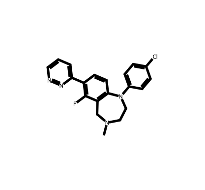 CN1CCN(c2ccc(Cl)cc2)c2ccc(-c3cccnn3)c(F)c2C1